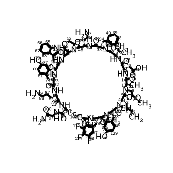 CCCC[C@H]1C(=O)N(CCOC)[C@H](C)C(=O)N[C@@H](CC(=O)O)C(=O)N[C@@H](C(C)C)C(=O)N(C)[C@@H](Cc2ccccc2)C(=O)N[C@@H](CCN)C(=O)N2CCOC[C@@H]2C(=O)N[C@@H](Cc2c[nH]c3ccccc23)C(=O)N[C@@H](Cc2ccc(O)cc2)C(=O)N[C@@H](CCCN)C(=O)N[C@H](C(=O)NCC(N)=O)CSCC(=O)N[C@@H](Cc2cc(F)c(F)c(F)c2)C(=O)N(C)[C@@H](Cc2ccc(O)cc2)C(=O)N1C